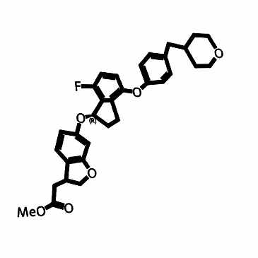 COC(=O)CC1COc2cc(O[C@@H]3CCc4c(Oc5ccc(CC6CCOCC6)cc5)ccc(F)c43)ccc21